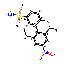 CCc1cc([N+](=O)[O-])cc(CC)c1-c1cc(S(N)(=O)=O)ccc1C